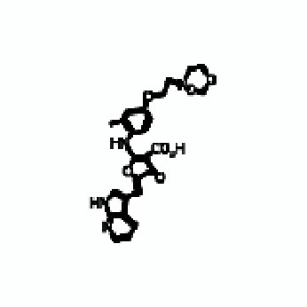 Cc1cc(OCCN2CCOCC2)ccc1NC1=C(C(=O)O)C(=O)C(=Cc2c[nH]c3ncccc23)O1